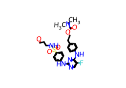 CN(C)C(=O)OCCc1ccc(Nc2nc(Nc3ccc(S(=O)(=O)NCCC=O)cc3)ncc2F)cc1